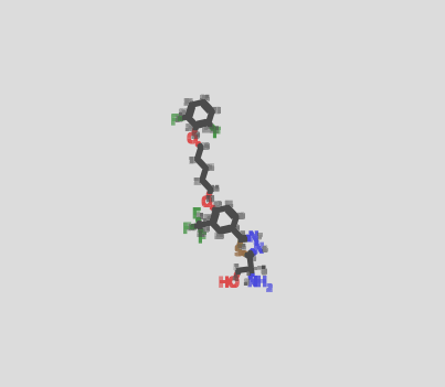 C[C@](N)(CO)c1nnc(-c2ccc(OCCCCCOc3c(F)cccc3F)c(C(F)(F)F)c2)s1